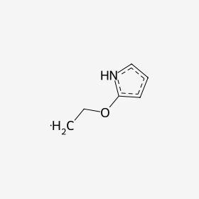 [CH2]COc1ccc[nH]1